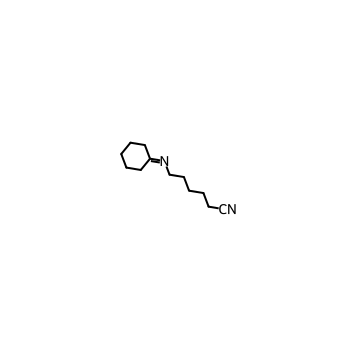 N#CCCCCCN=C1CCCCC1